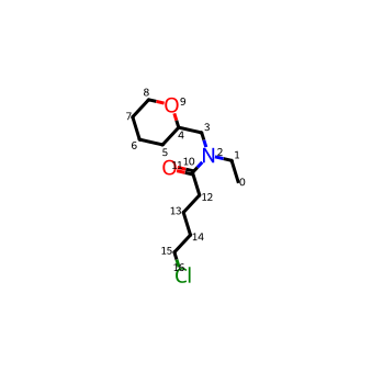 CCN(CC1CCCCO1)C(=O)CCCCCl